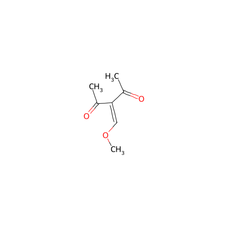 COC=C(C(C)=O)C(C)=O